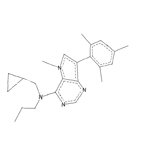 CCCN(CC1CC1)c1ncnc2c(-c3c(C)cc(C)cc3C)cn(C)c12